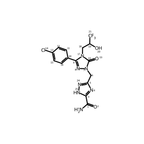 NC(=O)c1nc(Cn2nc(-c3ccc(Cl)cc3)n(CC(O)C(F)(F)F)c2=O)n[nH]1